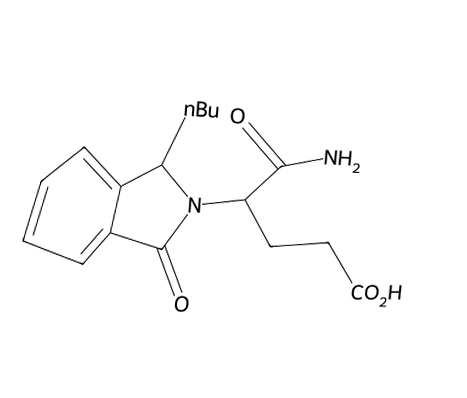 CCCCC1c2ccccc2C(=O)N1C(CCC(=O)O)C(N)=O